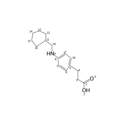 O=C(O)CCc1ccc(NCC2CCCCC2)cc1